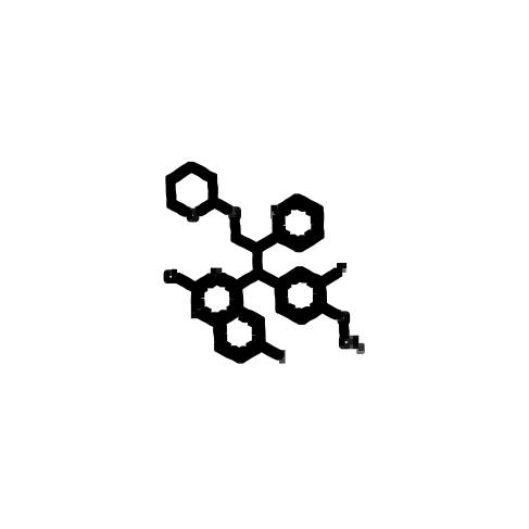 COc1ccc(C(c2nc(Cl)nc3ccc(I)cc23)C(COC2CCCCO2)c2ccccn2)cc1F